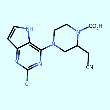 N#CCC1CN(c2nc(Cl)nc3cc[nH]c23)CCN1C(=O)O